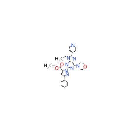 CCOC(=O)c1cc(-c2ccccc2)nn1-c1nc(N2CCOCC2)c2nc(-c3ccncc3)n(CC)c2n1